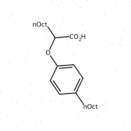 CCCCCCCCc1ccc(OC(CCCCCCCC)C(=O)O)cc1